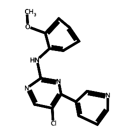 COc1c[c]ccc1Nc1ncc(Cl)c(-c2cccnc2)n1